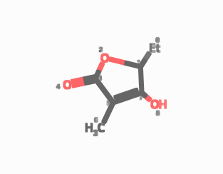 CCC1OC(=O)C(C)=C1O